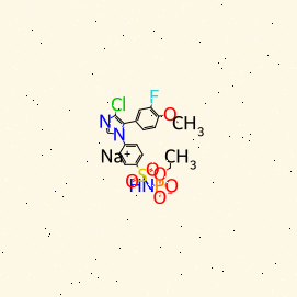 CCOP(=O)([O-])NS(=O)(=O)c1ccc(-n2cnc(Cl)c2-c2ccc(OC)c(F)c2)cc1.[Na+]